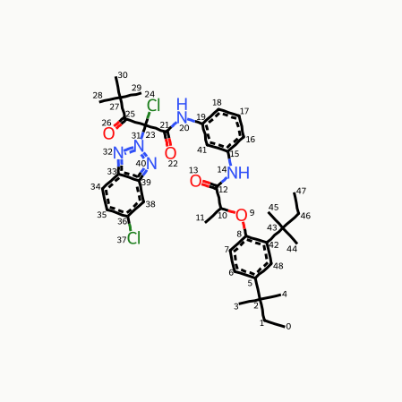 CCC(C)(C)c1ccc(OC(C)C(=O)Nc2cccc(NC(=O)C(Cl)(C(=O)C(C)(C)C)n3nc4ccc(Cl)cc4n3)c2)c(C(C)(C)CC)c1